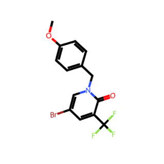 COc1ccc(Cn2cc(Br)cc(C(F)(F)F)c2=O)cc1